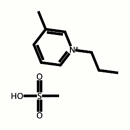 CCC[n+]1cccc(C)c1.CS(=O)(=O)O